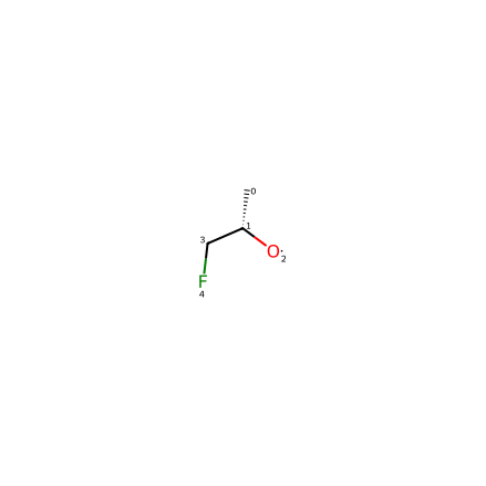 C[C@H]([O])CF